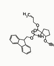 C=CCOC(=O)C1(NC(=O)OCC2c3ccccc3-c3ccccc32)CCCC1OC(C)(C)C